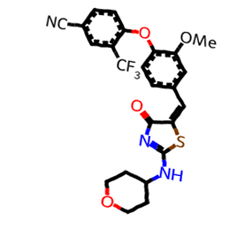 COc1cc(C=C2SC(NC3CCOCC3)=NC2=O)ccc1Oc1ccc(C#N)cc1C(F)(F)F